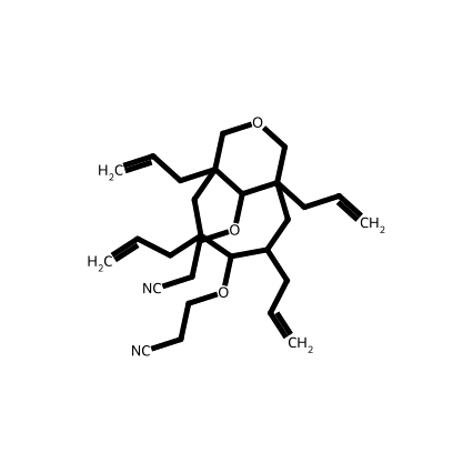 C=CCC1CC2(CC=C)COCC(CC=C)(CC(CC=C)C1OCCC#N)C2OCCC#N